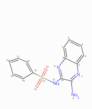 Nc1nc2ccccc2nc1NS(=O)(=O)c1ccccc1